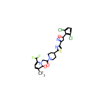 O=C(Cn1c(C(F)F)ccc(C(F)(F)F)c1=O)N1CCC(c2nc(C3=NOC(c4c(Cl)cccc4Cl)C3)cs2)CC1